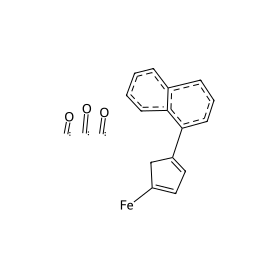 [C]=O.[C]=O.[C]=O.[Fe][C]1=CC=C(c2cccc3ccccc23)C1